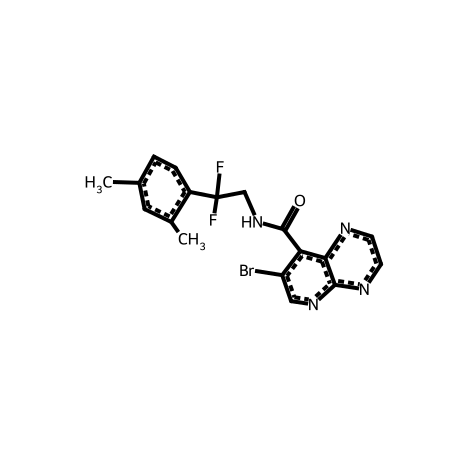 Cc1ccc(C(F)(F)CNC(=O)c2c(Br)cnc3nccnc23)c(C)c1